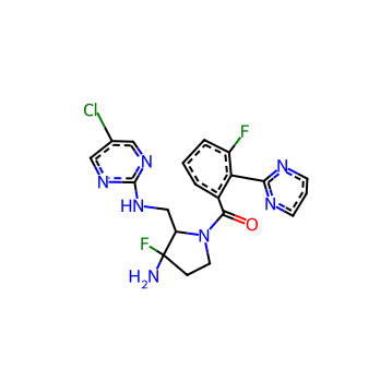 NC1(F)CCN(C(=O)c2cccc(F)c2-c2ncccn2)C1CNc1ncc(Cl)cn1